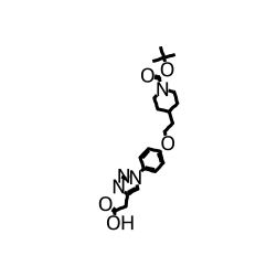 CC(C)(C)OC(=O)N1CCC(CCOc2ccc(-n3cc(CC(=O)O)nn3)cc2)CC1